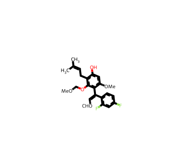 COCOc1c(CC=C(C)C)c(O)cc(OC)c1/C(=C/C=O)c1ccc(F)cc1F